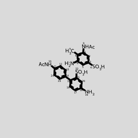 CC(=O)Nc1cc(S(=O)(=O)O)cc(N)c1C.CC(=O)Nc1ccc(-c2ccc(N)cc2S(=O)(=O)O)cc1